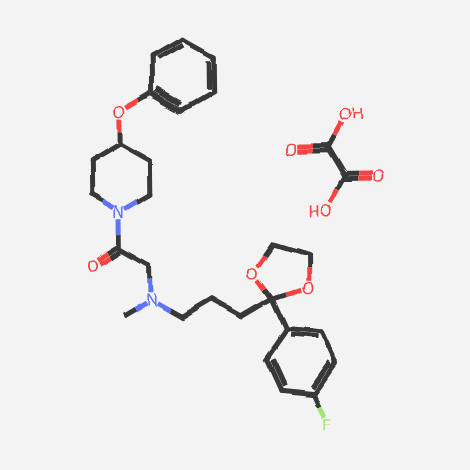 CN(CCCC1(c2ccc(F)cc2)OCCO1)CC(=O)N1CCC(Oc2ccccc2)CC1.O=C(O)C(=O)O